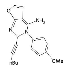 CCCCC#CC1N=c2occc2=C(N)N1c1ccc(OC)cc1